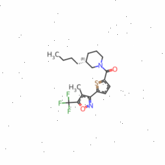 CCCC[C@@H]1CCCN(C(=O)c2ccc(-c3noc(C(F)(F)F)c3C)s2)C1